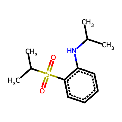 CC(C)Nc1ccccc1S(=O)(=O)C(C)C